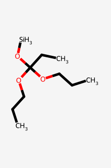 CCCOC(CC)(O[SiH3])OCCC